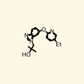 CCc1ccc(Oc2ccc3ncn(CC(C)(C)O)c3c2)nc1